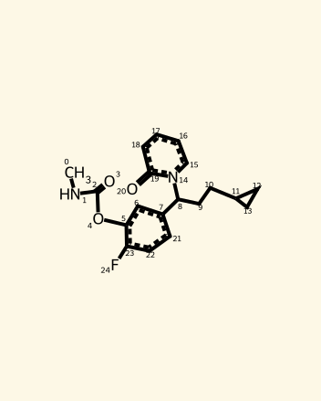 CNC(=O)Oc1cc(C(CCC2CC2)n2ccccc2=O)ccc1F